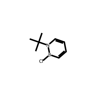 CC(C)(C)N1C=CC=CB1Cl